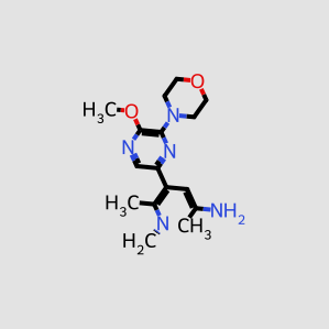 C=N/C(C)=C(\C=C(/C)N)c1cnc(OC)c(N2CCOCC2)n1